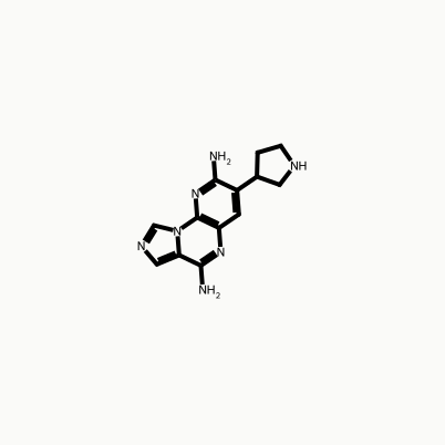 Nc1nc2c(cc1C1CCNC1)nc(N)c1cncn12